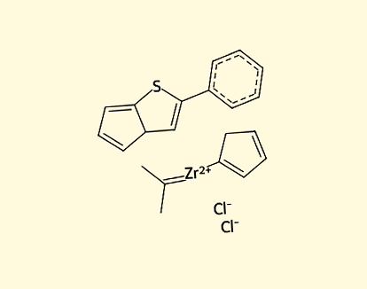 C1=CC2C=C(c3ccccc3)SC2=C1.C[C](C)=[Zr+2][C]1=CC=CC1.[Cl-].[Cl-]